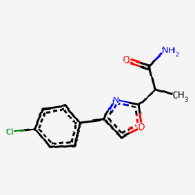 CC(C(N)=O)c1nc(-c2ccc(Cl)cc2)co1